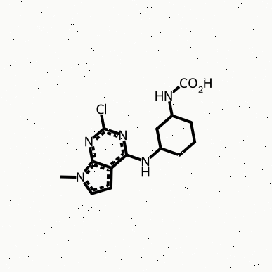 Cn1ccc2c(NC3CCCC(NC(=O)O)C3)nc(Cl)nc21